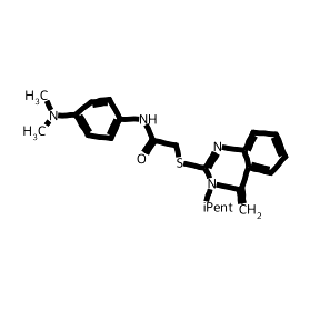 C=C1c2ccccc2N=C(SCC(=O)Nc2ccc(N(C)C)cc2)N1C(C)CCC